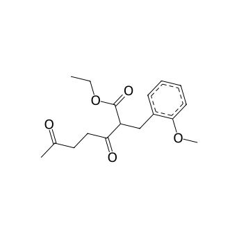 CCOC(=O)C(Cc1ccccc1OC)C(=O)CCC(C)=O